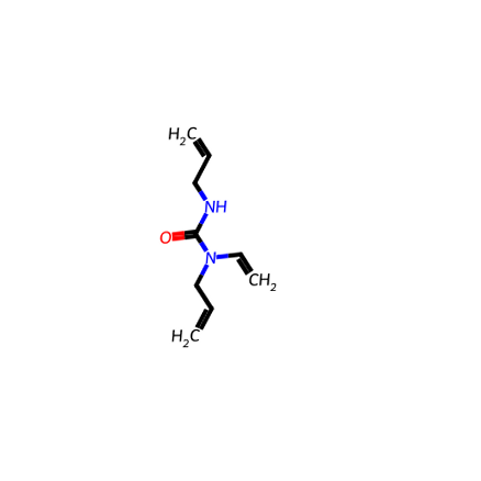 C=CCNC(=O)N(C=C)CC=C